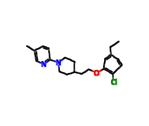 CCc1ccc(Cl)c(OCCC2CCN(c3ccc(C)cn3)CC2)c1